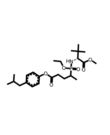 CCOP(=O)(N[C@@H](C(=O)OC)C(C)(C)C)C(C)CCC(=O)Oc1ccc(CC(C)C)cc1